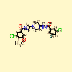 COc1cc(Cl)cc(C(=O)N2CC(N3CCC(CNC(=O)c4cc(F)cc(Cl)c4)CC3)C2)c1